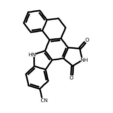 N#Cc1ccc2[nH]c3c4c(c5c(c3c2c1)C(=O)NC5=O)CCc1ccccc1-4